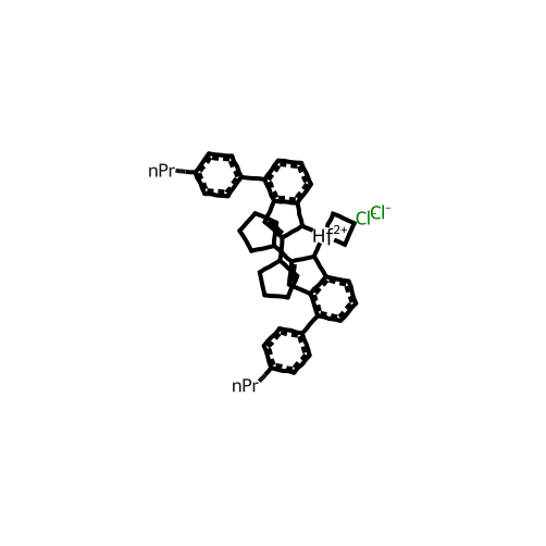 CCCc1ccc(-c2cccc3c2C=C(C2CCCC2)[CH]3[Hf+2]2([CH]3C(C4CCCC4)=Cc4c(-c5ccc(CCC)cc5)cccc43)[CH2]C[CH2]2)cc1.[Cl-].[Cl-]